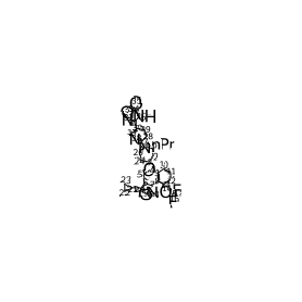 CCCC1CC(OCc2c(-c3ccccc3OC(F)F)noc2C2CC2)CCN1c1ccc(-c2noc(=O)[nH]2)cn1